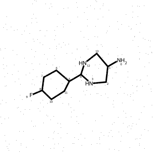 NC1CNC(C2CCC(F)CC2)NC1